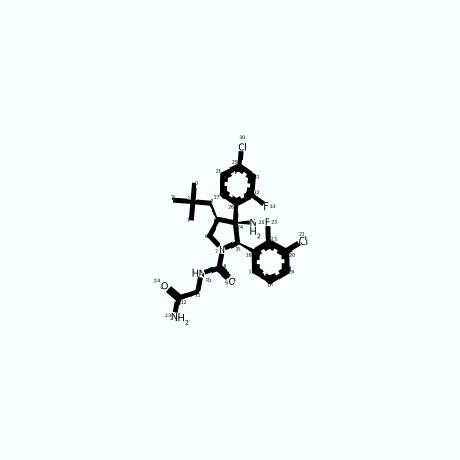 CC(C)(C)C[C@@H]1CN(C(=O)NCC(N)=O)[C@H](c2cccc(Cl)c2F)[C@@]1(N)c1ccc(Cl)cc1F